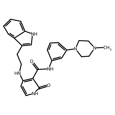 CN1CCN(c2cccc(NC(=O)c3c(NCCc4c[nH]c5ccccc45)cc[nH]c3=O)c2)CC1